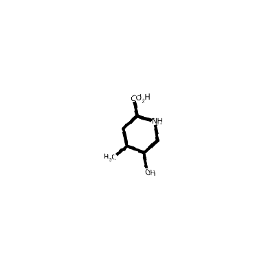 CC1CC(C(=O)O)NCC1O